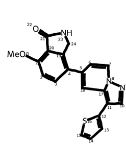 COc1ccc(-c2ccn3ncc(-c4cccs4)c3c2)c2c1C(=O)NC2